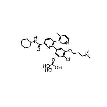 Cc1ccncc1-c1ccc(C(=O)NC2CCCCC2)nc1-c1ccc(Cl)c(OCCCN(C)C)c1.Cl.O=C(O)O